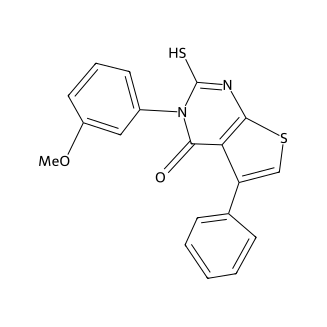 COc1cccc(-n2c(S)nc3scc(-c4ccccc4)c3c2=O)c1